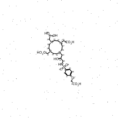 O=C(O)COc1ccc(S(=O)(=O)NCC(O)CN2CCN(CC(=O)O)CCN(CP(O)O)CCN(CC(=O)O)CC2)cc1